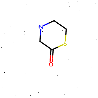 O=C1C[N]CCS1